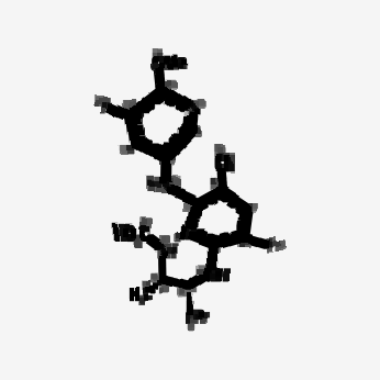 CCC[C@@H](Nc1nc(Nc2cnc(OC)c(F)c2)c(C#N)cc1F)[C@H](C)NC(=O)O